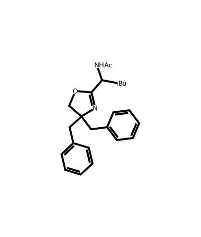 CCC(C)C(NC(C)=O)C1=NC(Cc2ccccc2)(Cc2ccccc2)CO1